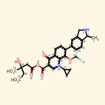 CC1NCc2cc(-c3ccc4c(=O)c(C(=O)OC(=O)CC(O)(CC(=O)O)C(=O)O)cn(C5CC5)c4c3OC(F)F)ccc21